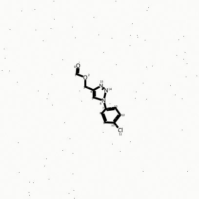 O=COCc1cn(-c2ccc(Cl)cc2)nn1